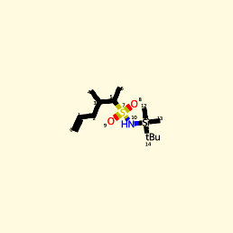 C=CCC(C)C(C)S(=O)(=O)N[Si](C)(C)C(C)(C)C